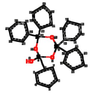 O[Si]1(c2ccccc2)O[Si](c2ccccc2)(c2ccccc2)O[Si](c2ccccc2)(c2ccccc2)O1